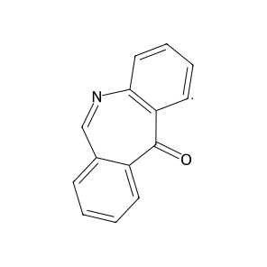 O=c1c2[c]cccc2ncc2ccccc12